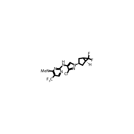 CNc1nc(Nc2cn([C@H]3CC4[C@H](C3)C4(F)F)nc2Cl)ncc1C(F)(F)F